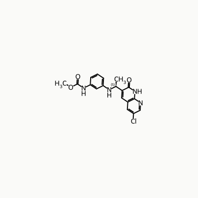 COC(=O)Nc1cccc(N[C@@H](C)c2cc3cc(Cl)cnc3[nH]c2=O)c1